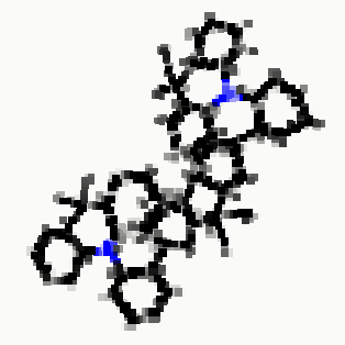 CC1(C)c2ccccc2N(c2ccccc2-c2ccc3c(c2)[Si](C)(C)c2cc(-c4ccccc4N4c5ccccc5C(C)(C)c5ccccc54)ccc2-3)c2ccccc21